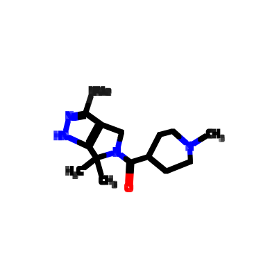 CNc1n[nH]c2c1CN(C(=O)C1CCN(C)CC1)C2(C)C